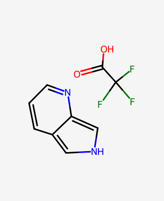 O=C(O)C(F)(F)F.c1cnc2c[nH]cc2c1